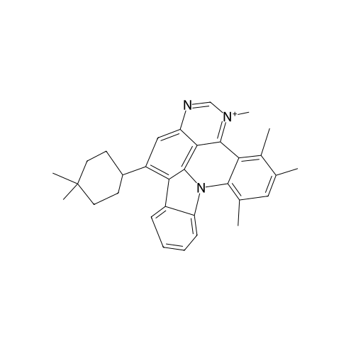 Cc1cc(C)c2c(c1C)c1c3c(cc(C4CCC(C)(C)CC4)c4c5ccccc5n2c43)nc[n+]1C